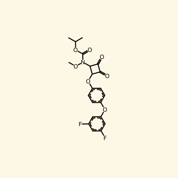 CON(C(=O)OC(C)C)C1C(=O)C(=O)C1Oc1ccc(Oc2cc(F)cc(F)c2)cc1